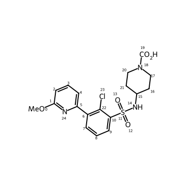 COc1cccc(-c2cccc(S(=O)(=O)NC3CCN(C(=O)O)CC3)c2Cl)n1